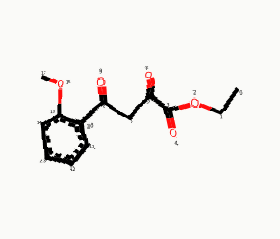 CCOC(=O)C(=O)CC(=O)c1ccccc1OC